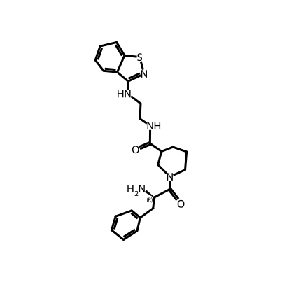 N[C@H](Cc1ccccc1)C(=O)N1CCCC(C(=O)NCCNc2nsc3ccccc23)C1